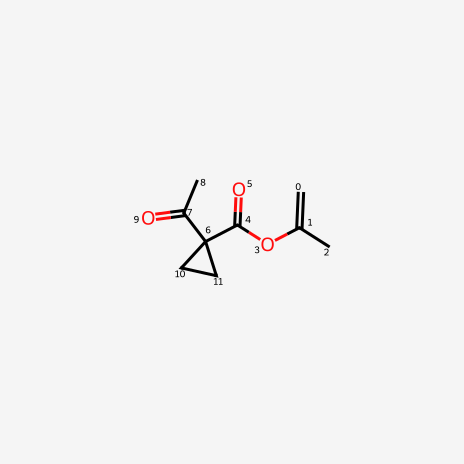 C=C(C)OC(=O)C1(C(C)=O)CC1